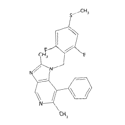 CSc1cc(F)c(Cn2c(C)nc3cnc(C)c(-c4ccccc4)c32)c(F)c1